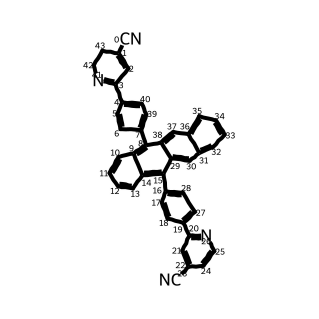 N#CC1=CC(c2ccc(-c3c4ccccc4c(-c4ccc(-c5cc(C#N)ccn5)cc4)c4cc5ccccc5cc34)cc2)=NCC1